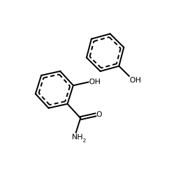 NC(=O)c1ccccc1O.Oc1ccccc1